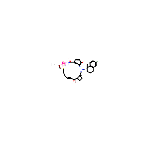 C[C@@H](O)C[C@@H]1CC/C=C/C(O)[C@@H]2CC[C@H]2CN2C[C@@]3(CCCc4cc(Cl)ccc43)COc3ccc(cc32)C(=O)NS1(=O)=O